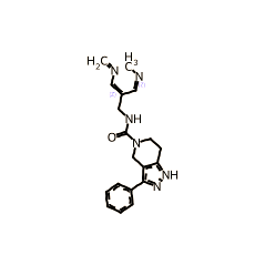 C=N/C=C(\C=N/C)CNC(=O)N1CCc2[nH]nc(-c3ccccc3)c2C1